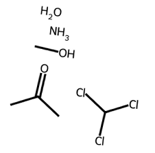 CC(C)=O.CO.ClC(Cl)Cl.N.O